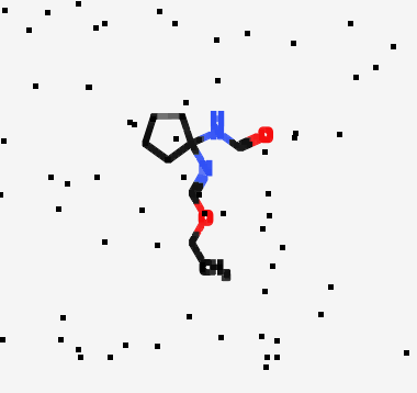 CCOC=NC1(NC=O)CCCC1